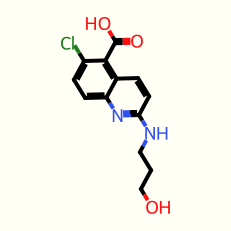 O=C(O)c1c(Cl)ccc2nc(NCCCO)ccc12